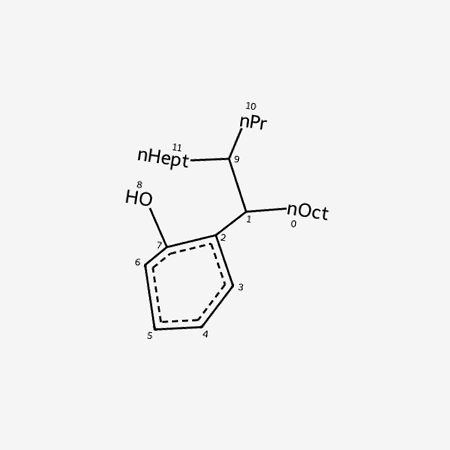 CCCCCCCCC(c1ccccc1O)C(CCC)CCCCCCC